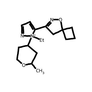 CC[N+]1(C2CCOC(C)C2)N=CC=C1C1=NOC2(CCC2)C1